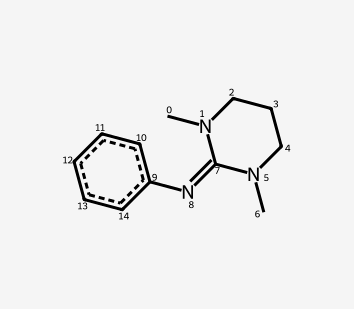 CN1CCCN(C)C1=Nc1ccccc1